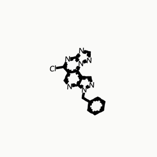 Clc1nc2ncnn2c2c1cnc1c2cnn1Cc1ccccc1